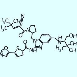 CC(C)(C)C=C(C#N)C(=O)N1CCCC1Cn1c(NC(=O)c2ccc(-c3cnco3)s2)nc2cc(CNC(CO)C(C)(C)C)ccc21